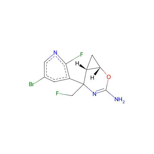 NC1=NC(CF)(c2cc(Br)cnc2F)[C@@H]2C[C@@H]2O1